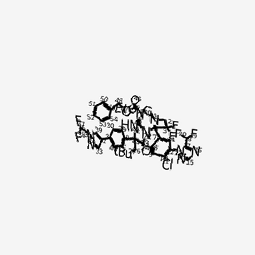 CCOC(=O)N1CC(F)(F)C1(c1ccc(Cl)c(-n2ncnc2C(F)F)c1)N1C(=O)C(CC(C)(C)C)(c2ccc(-c3cnn(C(F)F)c3)cc2)NC1=NC(=O)OCc1ccccc1